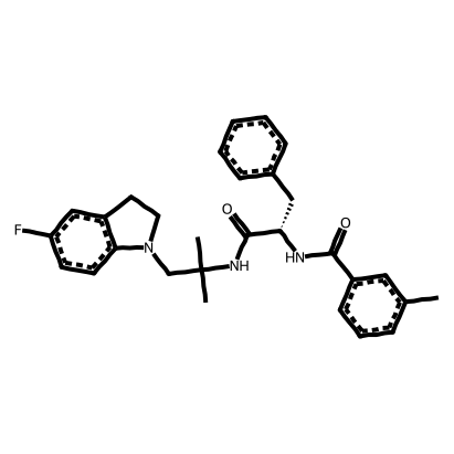 Cc1cccc(C(=O)N[C@@H](Cc2ccccc2)C(=O)NC(C)(C)CN2CCc3cc(F)ccc32)c1